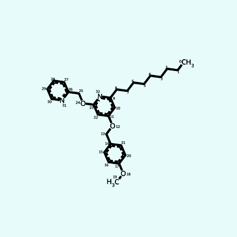 CCCCCCCCCc1cc(OCc2ccc(OC)cc2)cc(OCc2ccccn2)n1